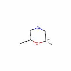 CC1C[N]C[C@H](C)O1